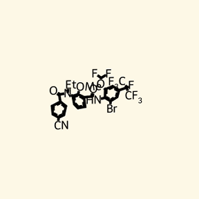 CCN(C(=O)c1ccc(C#N)cc1)c1cccc(C(=O)Nc2c(Br)cc(C(F)(C(F)(F)F)C(F)(F)F)cc2OC(F)F)c1OC